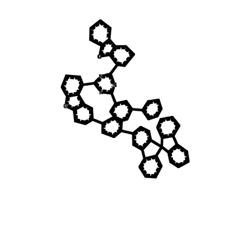 c1ccc(-c2cccc(-c3nc(-c4cccc5c4oc4ccccc45)nc(-c4cccc5oc6ccc(-c7ccc(-c8ccc9c(c8)-c8ccccc8C98c9ccccc9-c9ccccc98)cc7)cc6c45)n3)c2)cc1